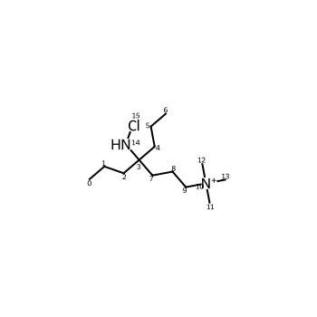 CCCC(CCC)(CCC[N+](C)(C)C)NCl